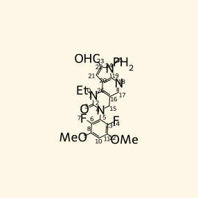 CCN1C(=O)N(c2c(F)c(OC)cc(OC)c2F)Cc2cnc3c(cc(C=O)n3P)c21